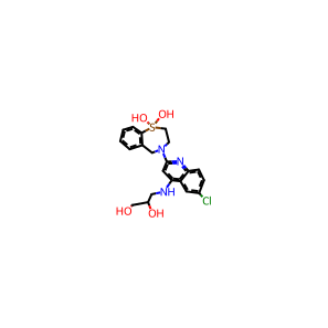 OCC(O)CNc1cc(N2CCS(O)(O)c3ccccc3C2)nc2ccc(Cl)cc12